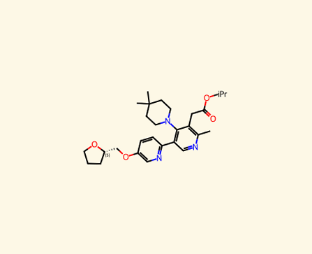 Cc1ncc(-c2ccc(OC[C@@H]3CCCO3)cn2)c(N2CCC(C)(C)CC2)c1CC(=O)OC(C)C